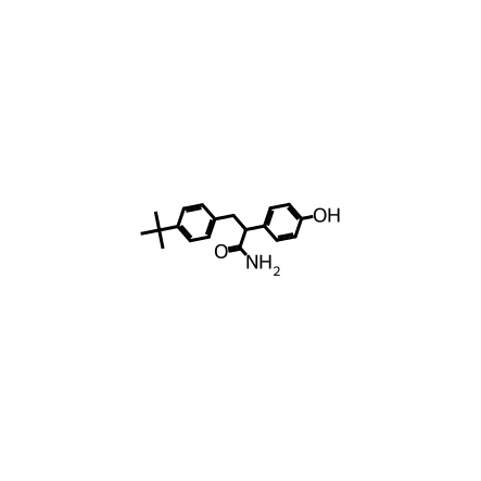 CC(C)(C)c1ccc(CC(C(N)=O)c2ccc(O)cc2)cc1